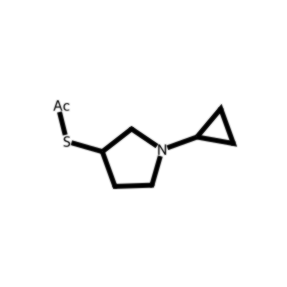 CC(=O)SC1CCN(C2CC2)C1